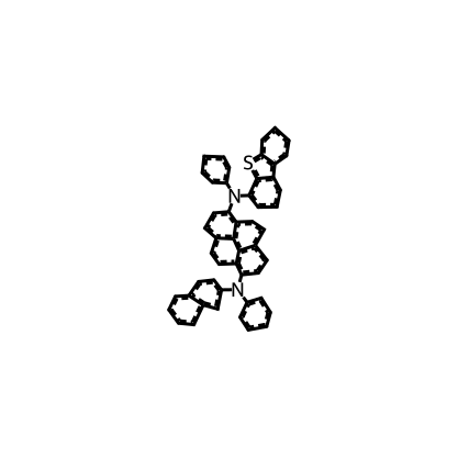 c1ccc(N(c2ccc3ccccc3c2)c2ccc3ccc4c(N(c5ccccc5)c5cccc6c5sc5ccccc56)ccc5ccc2c3c54)cc1